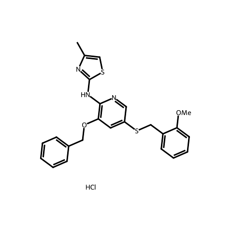 COc1ccccc1CSc1cnc(Nc2nc(C)cs2)c(OCc2ccccc2)c1.Cl